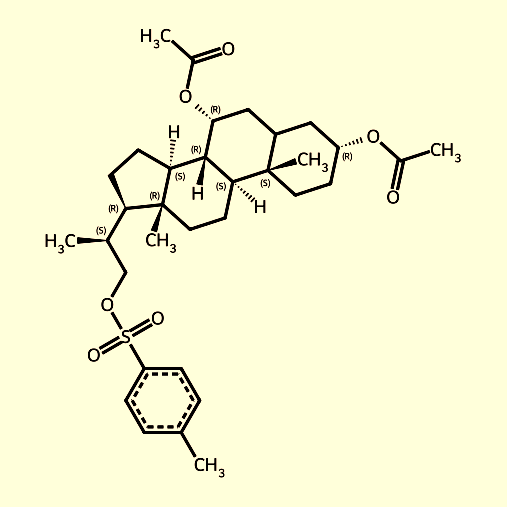 CC(=O)O[C@@H]1CC[C@@]2(C)C(C1)C[C@@H](OC(C)=O)[C@H]1[C@@H]3CC[C@H]([C@H](C)COS(=O)(=O)c4ccc(C)cc4)[C@@]3(C)CC[C@@H]12